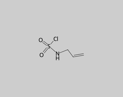 C=CCNS(=O)(=O)Cl